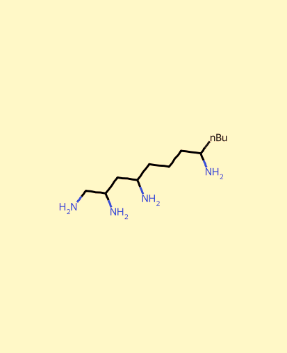 CCCCC(N)CCCC(N)CC(N)CN